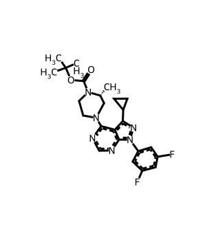 C[C@@H]1CN(c2ncnc3c2c(C2CC2)nn3-c2cc(F)cc(F)c2)CCN1C(=O)OC(C)(C)C